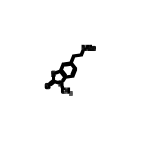 CNCCc1ccc2c(c1)sc(=O)n2C